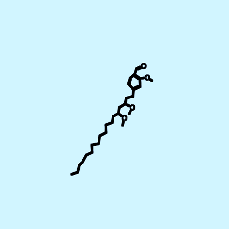 CCCCCCCCCCCCCC(CC(CCc1ccc(C=O)c(OC)c1)OC)OC